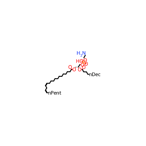 CCCCC/C=C\C/C=C\CCCCCCCCCCCC(=O)OC[C@H](COP(=O)(O)OCCN)OC(=O)CCCCCCCCCCCCC